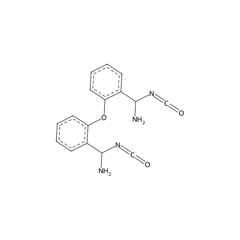 NC(N=C=O)c1ccccc1Oc1ccccc1C(N)N=C=O